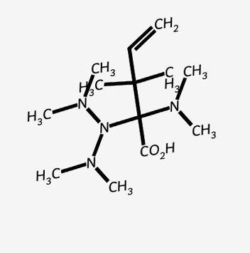 C=CC(C)(C)C(C(=O)O)(N(C)C)N(N(C)C)N(C)C